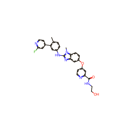 Cc1ccc(Nc2nc3cc(Oc4ccnc(C(=O)NCCO)c4)ccc3n2C)cc1-c1ccnc(F)c1